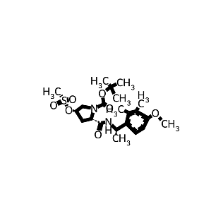 COc1ccc([C@H](C)NC(=O)[C@@H]2C[C@@H](OS(C)(=O)=O)CN2C(=O)OC(C)(C)C)c(C)c1C